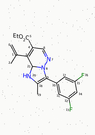 C=C(C)C1=C(C(=O)OCC)C=NN2C(c3cc(F)cc(F)c3)=C(C)NC12